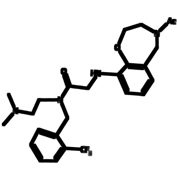 CC(=O)N1CCOc2c(cccc2NCC(=O)N(CCN(C)C)Cc2ccccc2C(F)(F)F)C1